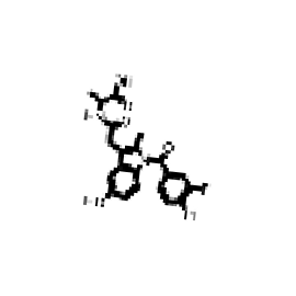 Cc1c(CC(=O)NC(C)C(=O)O)c2cc(O)ccc2n1C(=O)c1ccc(Cl)c(F)c1